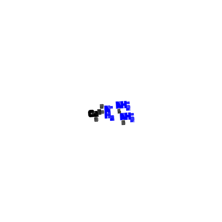 [Ga+3].[NH2-].[NH2-].[NH2-]